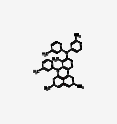 Cc1cccc(-c2ccc(N(c3cccc(C)c3)c3cccc(C)c3)c(C)c2N(c2cccc(C)c2)c2cccc(C)c2)c1